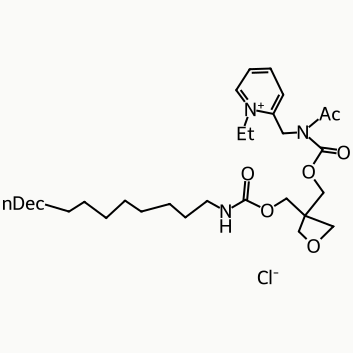 CCCCCCCCCCCCCCCCCCNC(=O)OCC1(COC(=O)N(Cc2cccc[n+]2CC)C(C)=O)COC1.[Cl-]